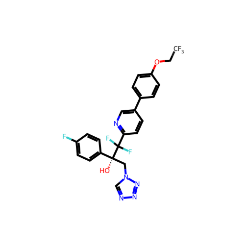 O[C@](Cn1cnnn1)(c1ccc(F)cc1)C(F)(F)c1ccc(-c2ccc(OCC(F)(F)F)cc2)cn1